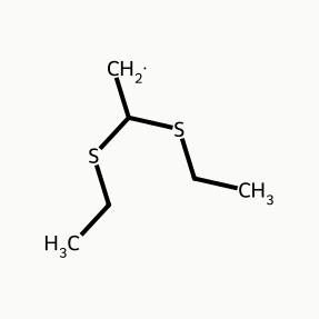 [CH2]C(SCC)SCC